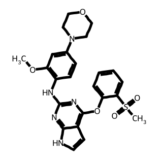 COc1cc(N2CCOCC2)ccc1Nc1nc(Oc2ccccc2S(C)(=O)=O)c2cc[nH]c2n1